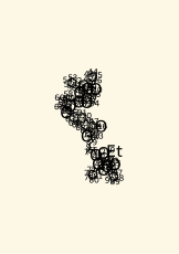 CCC1O[C@@H](OC[C@@H](C)CCC(=O)[C@@H](C)C2C(=O)CC3C4CCC5CC(O[C@@H]6OC(CO[C@@H]7OC(C)[C@H](C)[C@H](OC(=O)c8ccccc8)C7OC(=O)c7ccccc7)[C@H](C)[C@H](C)C6C)CCC5(C)C4CCC32C)C(OC(=O)c2ccccc2)[C@@H](OC(=O)c2ccccc2)[C@H]1C